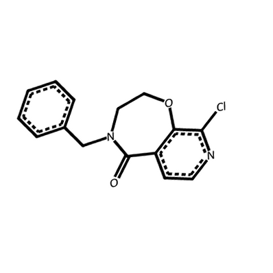 O=C1c2ccnc(Cl)c2OCCN1Cc1ccccc1